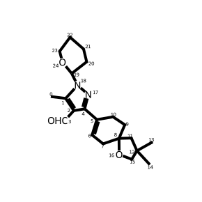 Cc1c(C=O)c(C2=CCC3(CC2)CC(C)(C)CO3)nn1C1CCCCO1